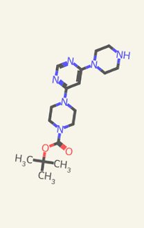 CC(C)(C)OC(=O)N1CCN(c2cc(N3CCNCC3)ncn2)CC1